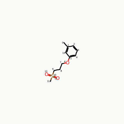 Cc1cccc(OCCCS(C)(=O)=O)c1